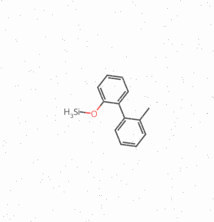 Cc1ccccc1-c1ccccc1O[SiH3]